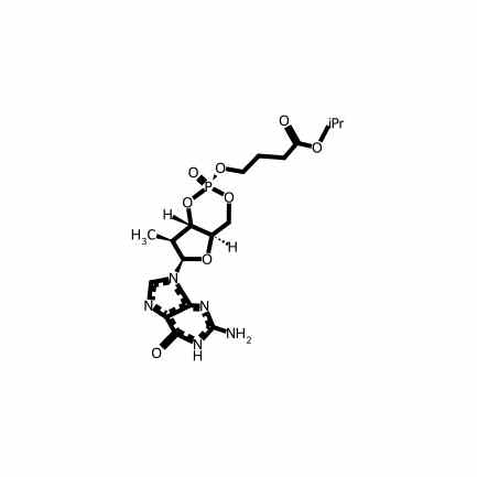 CC(C)OC(=O)CCCO[P@]1(=O)OC[C@H]2O[C@@H](n3cnc4c(=O)[nH]c(N)nc43)[C@@H](C)[C@@H]2O1